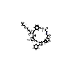 CC(C)(C)C[C@@H]1NC[C@H](CC2CCCCC2)NC(=O)[C@H]2CCCN2C(=O)/C=C/C(=O)NCc2cccc(c2)C[C@@H](C(=O)NCCOCCN)NC1=O